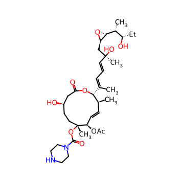 CC[C@H](O)[C@@H](C)[C@H]1O[C@@H]1C[C@@](C)(O)/C=C/C=C(\C)[C@H]1OC(=O)C[C@H](O)CC[C@@](C)(OC(=O)N2CCNCC2)[C@H](OC(C)=O)/C=C/[C@@H]1C